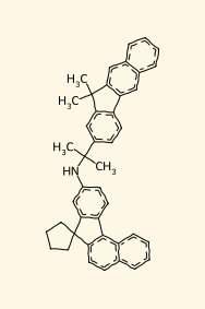 CC(C)(Nc1ccc2c(c1)C1(CCCC1)c1ccc3ccccc3c1-2)c1ccc2c(c1)C(C)(C)c1cc3ccccc3cc1-2